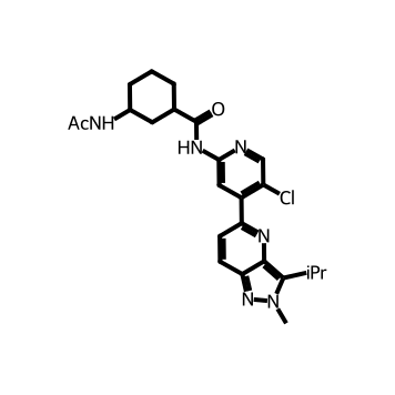 CC(=O)NC1CCCC(C(=O)Nc2cc(-c3ccc4nn(C)c(C(C)C)c4n3)c(Cl)cn2)C1